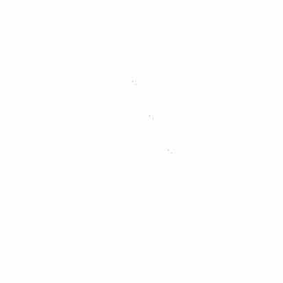 CC[C@@]1(C)N=C(N(C)C=N)c2ccccc2C1(C)C